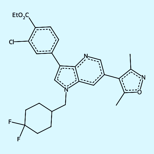 CCOC(=O)c1ccc(-c2cn(CC3CCC(F)(F)CC3)c3cc(-c4c(C)noc4C)cnc23)cc1Cl